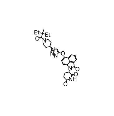 CCC(C)(CC)C(=O)N1CCC(n2cc(Oc3ccc4c5c(cccc35)C(=O)N4C3CCC(=O)NC3=O)nn2)CC1